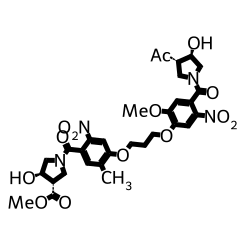 COC(=O)[C@H]1CN(C(=O)c2cc(C)c(OCCCOc3cc([N+](=O)[O-])c(C(=O)N4C[C@H](C(C)=O)[C@@H](O)C4)cc3OC)cc2[N+](=O)[O-])C[C@@H]1O